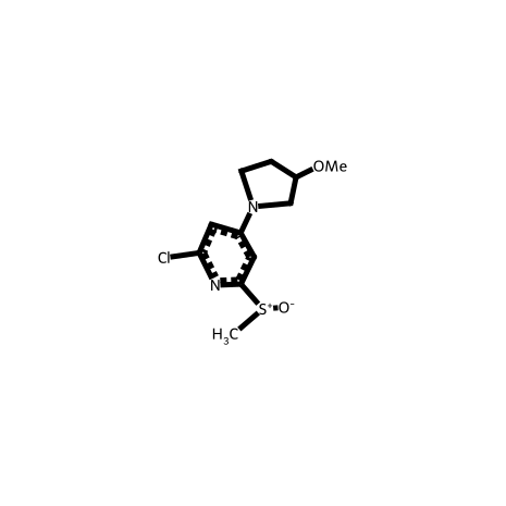 COC1CCN(c2cc(Cl)nc([S+](C)[O-])c2)C1